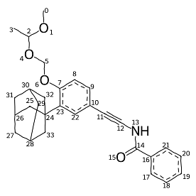 COC(C)OCOc1ccc(C#CNC(=O)c2ccccc2)cc1C12CC3CC(CC(C3)C1)C2